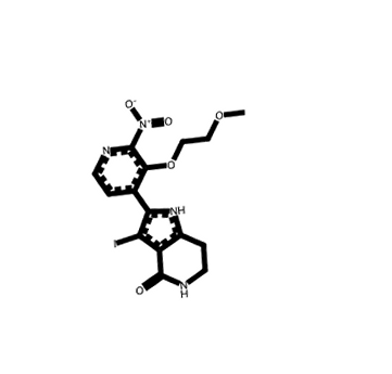 COCCOc1c(-c2[nH]c3c(c2I)C(=O)NCC3)ccnc1[N+](=O)[O-]